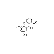 CCOC(=O)C(CC(=O)O)C(O)c1ccccc1C=O